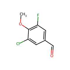 COc1c(F)cc(C=O)cc1Cl